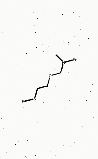 CCN(C)COCCSF